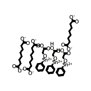 O=C(O)C[O][Sn+2][c]1ccccc1.O=C(O)C[O][Sn+2][c]1ccccc1.O=C(O)C[O][Sn+2][c]1ccccc1.O=C([O-])CCCCCCC(=O)[O-].O=C([O-])CCCCCCC(=O)[O-].O=C([O-])CCCCCCC(=O)[O-]